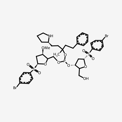 CO[C@@H]1C[C@H](S(=O)(=O)c2ccc(Br)cc2)OC1COP(O[C@@H]1C[C@H](S(=O)(=O)c2ccc(Br)cc2)OC1CO)OC(C)(CCc1ccccc1)CC[C@H]1CCCN1